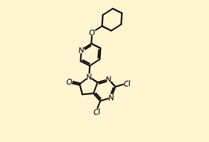 O=C1Cc2c(Cl)nc(Cl)nc2N1c1ccc(OC2CCCCC2)nc1